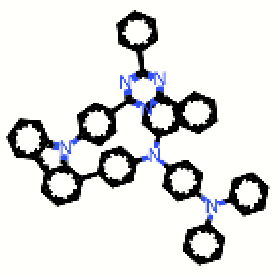 c1ccc(-c2nc(-c3ccccc3)nc(-c3ccc(-n4c5ccccc5c5cccc(-c6ccc(N(c7ccccc7)c7ccc(N(c8ccccc8)c8ccccc8)cc7)cc6)c54)cc3)n2)cc1